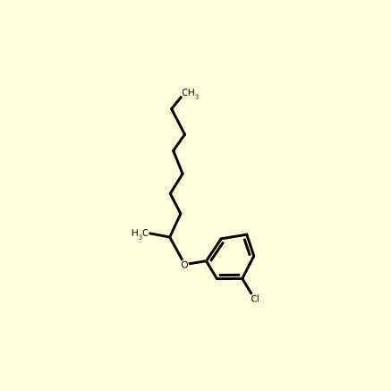 CCCCCCCC(C)Oc1cccc(Cl)c1